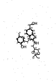 Cc1ccc(O)c(Cn2c(NCC3COC(C)(C)O3)nc3cc(CO)ccc32)n1